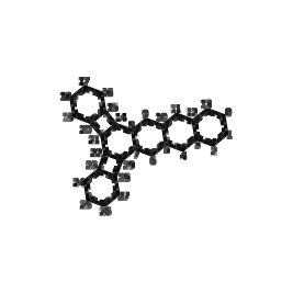 c1ccc2cc3cc4c(cc3cc2c1)c1c2ccccc2c1c1c2ccccc2c41